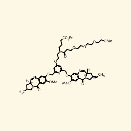 C/C=C1\C[C@H]2C=Nc3cc(OCc4cc(OCCN(CCCC(=O)OCC)C(=O)CCOCCOCCOCCOC)cc(COc5cc6c(cc5OC)C(=O)N5CC(C)C[C@H]5C=N6)n4)c(OC)cc3C(=O)N2C1